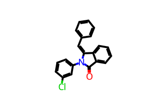 O=C1c2ccccc2C(=Cc2ccccc2)N1c1cccc(Cl)c1